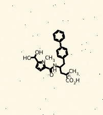 C[C@H](CC(Cc1ccc(-c2ccccc2)cc1)NC(=O)c1ccc(C(O)O)n1C)C(=O)O